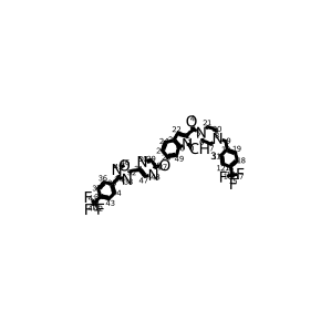 Cn1c(C(=O)N2CCN(Cc3ccc(C(F)(F)F)cc3)CC2)cc2ccc(Oc3cnc(-c4nc(-c5ccc(C(F)(F)F)cc5)no4)cn3)cc21